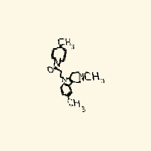 Cc1ccc2c(c1)c1c(n2CCC(=O)N2CCC(C)CC2)CCN(C)C1